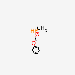 CPOCCOc1ccccc1